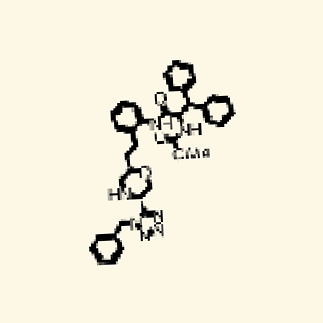 COC(=O)NC(C(=O)Nc1ccccc1CC[C@@H]1CN[C@H](c2nnnn2Cc2ccccc2)CO1)C(c1ccccc1)c1ccccc1